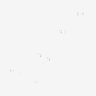 CCOc1ccc(-c2nc(-c3ccc(CNCCCCP)cc3)no2)cc1OCC